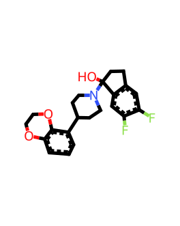 OC1(N2CCC(c3cccc4c3OCCO4)CC2)CCc2cc(F)c(F)cc21